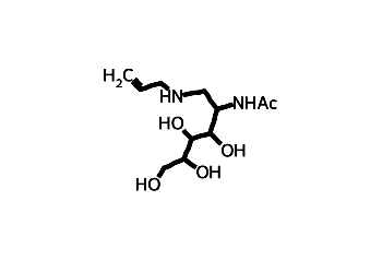 C=CCNCC(NC(C)=O)C(O)C(O)C(O)CO